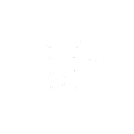 B[C@@H]1O[C@H](CC)[C@H](OC(=O)CCC(=O)NC)C1OC[C@H]1O[C@@H](B)C[C@H]1O[Si](C)(C)C(C)(C)C